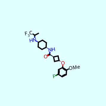 COc1ccc(F)cc1O[C@H]1C[C@H](C(=O)N[C@H]2CC[C@H](NC(C)C(F)(F)F)CC2)C1